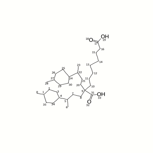 CC1CCC(C(C)CCC(CCCCCCCC(=O)O)(CCC(C)C2CCC(C)CC2)C(=O)O)CC1